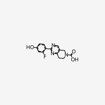 O=C(O)N1CCc2nc(-c3ccc(O)cc3F)ncc2C1